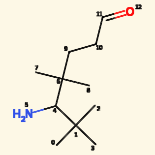 CC(C)(C)C(N)C(C)(C)CCC=O